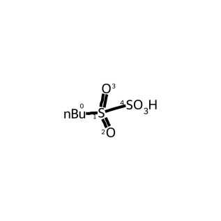 CCCCS(=O)(=O)S(=O)(=O)O